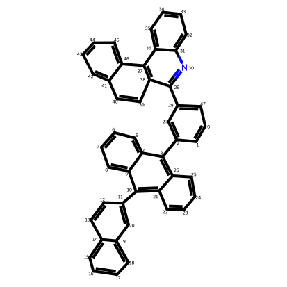 c1cc(-c2c3ccccc3c(-c3ccc4ccccc4c3)c3ccccc23)cc(-c2nc3ccccc3c3c2ccc2ccccc23)c1